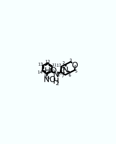 O=C(O)N1C2COCC1CC(Nc1ccccc1[N+](=O)[O-])C2